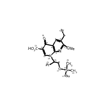 COc1nc2c(cc1CBr)c(=O)c(C(=O)O)cn2C(CO[Si](C)(C)C(C)(C)C)C(C)C